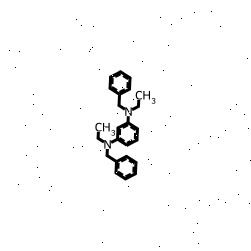 CCN(Cc1ccccc1)c1cccc(N(CC)Cc2ccccc2)c1